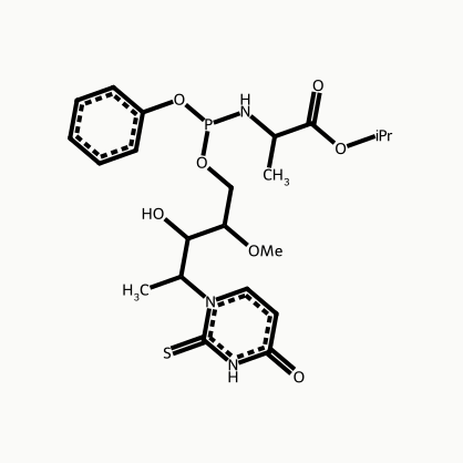 COC(COP(NC(C)C(=O)OC(C)C)Oc1ccccc1)C(O)C(C)n1ccc(=O)[nH]c1=S